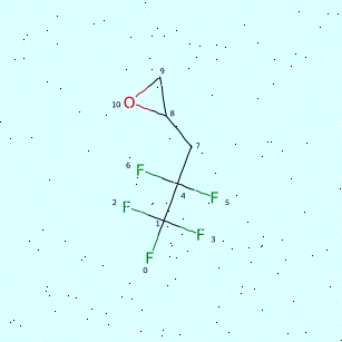 FC(F)(F)C(F)(F)CC1CO1